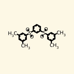 Cc1cc(C)cc(S(=O)(=O)c2cccc(S(=O)(=O)c3cc(C)cc(C)c3)c2)c1